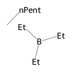 CCB(CC)CC.CCCCCC